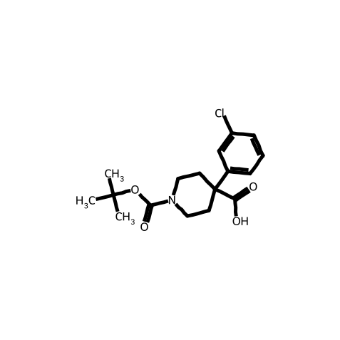 CC(C)(C)OC(=O)N1CCC(C(=O)O)(c2cccc(Cl)c2)CC1